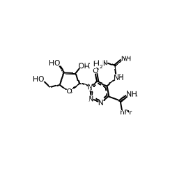 CCCC(=N)c1nnn(C2OC(CO)C(O)C2O)c(=O)c1NC(=N)N